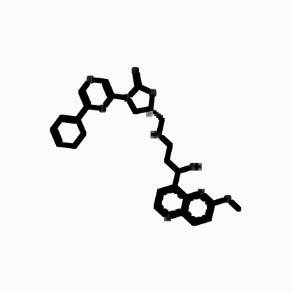 COc1ccc2nccc(C(O)CCNC[C@@H]3CN(C4=COC=C(C5=CC=CCC5)O4)C(=O)O3)c2n1